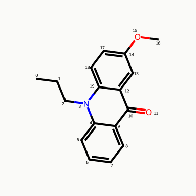 CCCn1c2ccccc2c(=O)c2cc(OC)ccc21